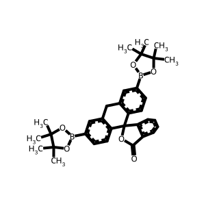 CC1(C)OB(c2ccc3c(c2)Cc2cc(B4OC(C)(C)C(C)(C)O4)ccc2C32OC(=O)c3ccccc32)OC1(C)C